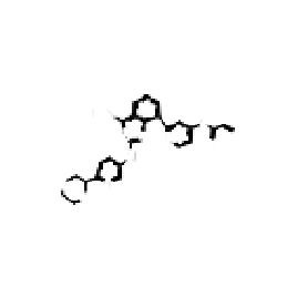 C=CC(=O)Nc1ccnc(-c2cccc3c(N)nc(Nc4ccc(C5CNCCO5)nc4)nc23)c1